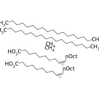 C.C.CCCCCCCC/C=C\CCCCCCCC(=O)O.CCCCCCCC/C=C\CCCCCCCC(=O)O.CCCCCCCCCCCCCCCCCC.CCCCCCCCCCCCCCCCCC